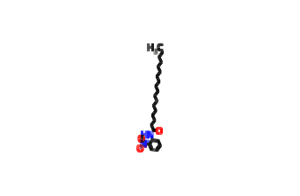 CCCCCCCCCCCCCCCCCC(=O)Nc1ccccc1[N+](=O)[O-]